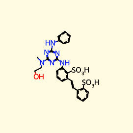 CN(CCO)c1nc(Nc2ccccc2)nc(Nc2cccc(C=Cc3ccccc3S(=O)(=O)O)c2S(=O)(=O)O)n1